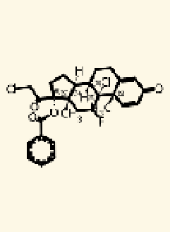 C[C@]12C=CC(=O)C=C1CC[C@H]1[C@@H]3CC[C@](OC(=O)c4ccccc4)(C(=O)CCl)[C@@]3(C)CC(F)[C@@]12Cl